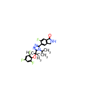 CC(C)n1c(-c2cc3c(cc2F)C(=O)NC3)nnc1C(C)(C)Oc1c(F)cc(F)cc1F